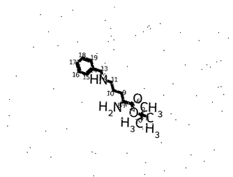 CC(C)(C)OC(=O)[C@@H](N)CCCNCc1ccccc1